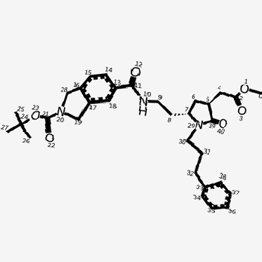 COC(=O)C[C@@H]1C[C@@H](CCNC(=O)c2ccc3c(c2)CN(C(=O)OC(C)(C)C)C3)N(CCCc2ccccc2)C1=O